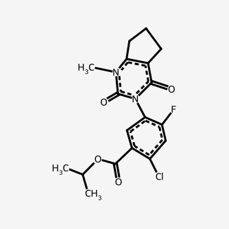 CC(C)OC(=O)c1cc(-n2c(=O)c3c(n(C)c2=O)CCC3)c(F)cc1Cl